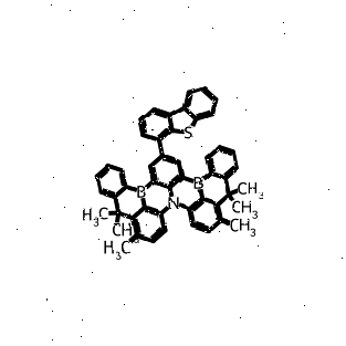 Cc1ccc2c3c1C(C)(C)c1ccccc1B3c1cc(-c3cccc4c3sc3ccccc34)cc3c1N2c1ccc(C)c2c1B3c1ccccc1C2(C)C